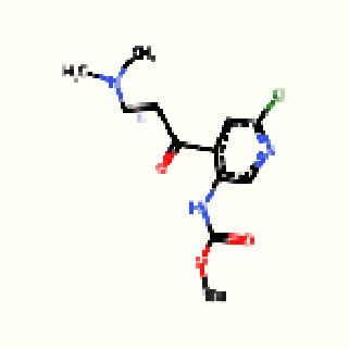 CN(C)/C=C/C(=O)c1cc(Cl)ncc1NC(=O)OC(C)(C)C